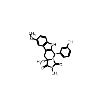 COc1ccc2[nH]c3c(c2c1)C[C@@]1(C)C(=O)N(C)C(=O)N1[C@@H]3c1cccc(O)c1